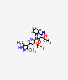 COc1cc(-c2c(C)n[nH]c2C)cnc1NC(=O)c1c(-c2ccccc2)noc1C